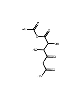 CCCC(=O)OC(=O)C(O)C(O)C(=O)OC(=O)CCC